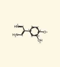 N=C/C(=C\N)c1ccc(Cl)c(O)c1